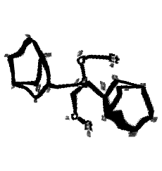 CCO[Si](OCC)(C1CC2CCC1C2)C1CC2CCC1C2